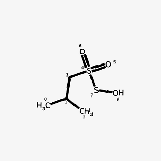 CC(C)CS(=O)(=O)SO